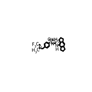 CN(Cc1ccc(S(N)(=O)=NC(=O)Nc2c3c(cc4c2CCC4)CCC3)cc1)CC(F)(F)F